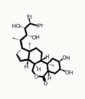 CC[C@@H](C(C)C)[C@@H](O)[C@H](O)[C@@H](C)[C@H]1CC[C@H]2[C@@H]3COC(=O)[C@H]4C[C@H](O)[C@H](O)C[C@]4(C)[C@H]3CC[C@]12C